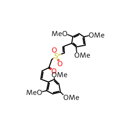 COc1cc(OC)c(/C=C\C(=O)CS(=O)(=O)/C=C/c2c(OC)cc(OC)cc2OC)c(OC)c1